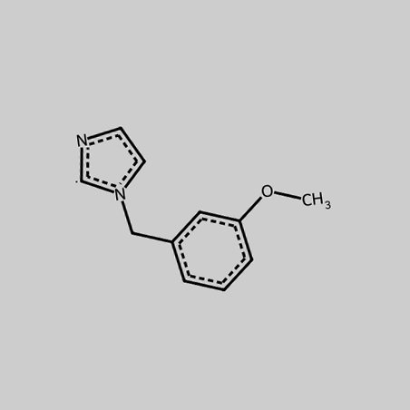 COc1cccc(Cn2[c]ncc2)c1